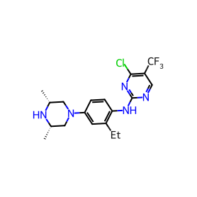 CCc1cc(N2C[C@@H](C)N[C@@H](C)C2)ccc1Nc1ncc(C(F)(F)F)c(Cl)n1